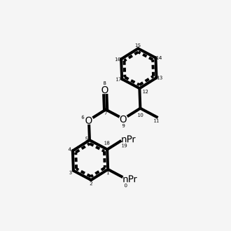 CCCc1cccc(OC(=O)OC(C)c2ccccc2)c1CCC